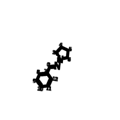 C(=NN1CCCC1)c1ccccc1